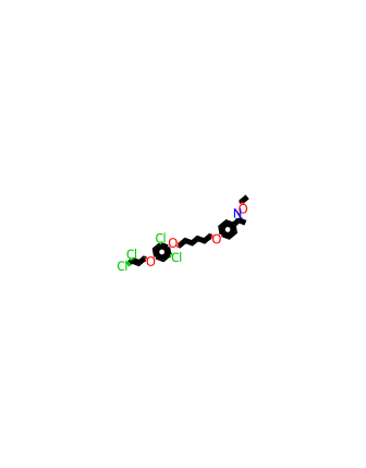 CCON=C(C)c1ccc(OCCCCCCOc2c(Cl)cc(OCC=C(Cl)Cl)cc2Cl)cc1